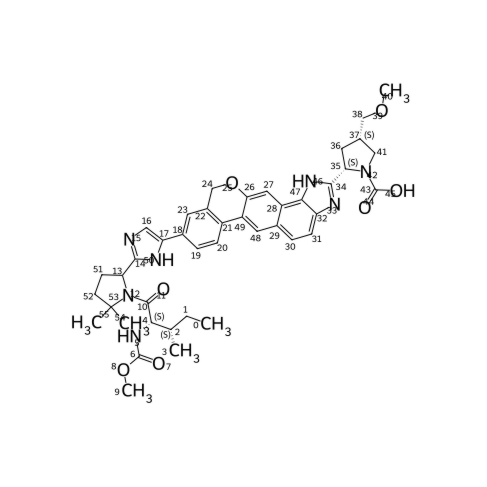 CC[C@H](C)[C@H](NC(=O)OC)C(=O)N1C(c2ncc(-c3ccc4c(c3)COc3cc5c(ccc6nc([C@@H]7C[C@H](COC)CN7C(=O)O)[nH]c65)cc3-4)[nH]2)CCC1(C)C